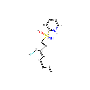 C=C\C=C/C=C(/C=C/S(=N)(=O)c1ccccn1)CF